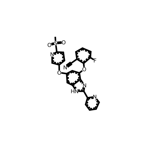 CS(=O)(=O)c1ccc(Oc2cc(Oc3c(F)cccc3C#N)c3nc(-c4ccccn4)[nH]c3c2)cn1